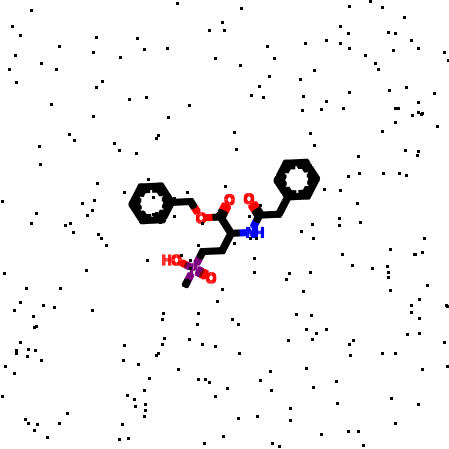 CP(=O)(O)CCC(NC(=O)Cc1ccccc1)C(=O)OCc1ccccc1